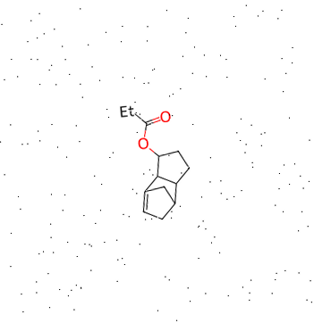 CCC(=O)OC1CCC2C3CC=C(C3)C12